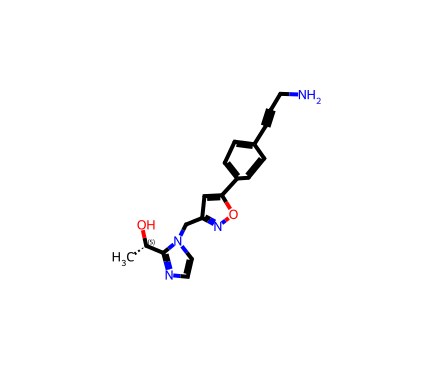 C[C@H](O)c1nccn1Cc1cc(-c2ccc(C#CCN)cc2)on1